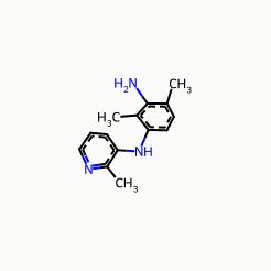 Cc1ccc(Nc2cccnc2C)c(C)c1N